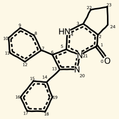 O=c1c2c([nH]c3c(-c4ccccc4)c(-c4ccccc4)nn13)CCC2